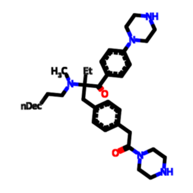 CCCCCCCCCCCCN(C)C(CC)(Cc1ccc(CC(=O)N2CCNCC2)cc1)C(=O)c1ccc(N2CCNCC2)cc1